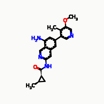 COc1cncc(-c2cc(N)c3cnc(NC(=O)[C@@H]4C[C@H]4C)cc3c2)c1C